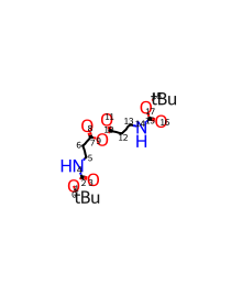 CC(C)(C)OC(=O)NCCC(=O)OC(=O)CCNC(=O)OC(C)(C)C